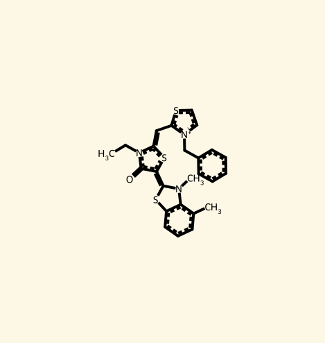 CCn1c(=O)/c(=C2\Sc3cccc(C)c3N2C)s/c1=C\c1scc[n+]1Cc1ccccc1